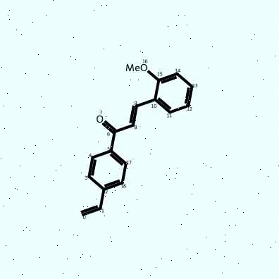 C=Cc1ccc(C(=O)C=Cc2ccccc2OC)cc1